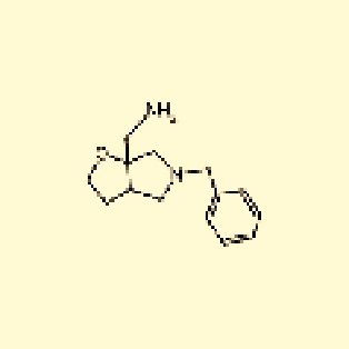 NCC12CN(Cc3ccccc3)CC1CCO2